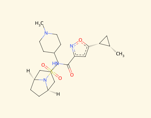 C[C@H]1C[C@H]1c1cc(C(=O)NC2C[C@H]3CC[C@@H](C2)N3S(=O)(=O)CC2CCN(C)CC2)no1